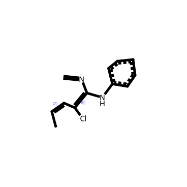 C=N/C(Nc1ccccc1)=C(Cl)\C=C/C